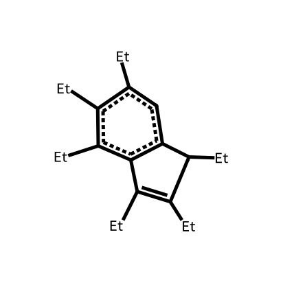 CC[C]1C(CC)=C(CC)c2c1cc(CC)c(CC)c2CC